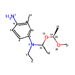 CCN(c1ccc(N)c(C)c1)C(C)O[C@@H](C)OC